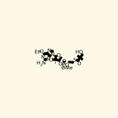 CCOc1nc(N)nc2c1ncn2[C@@H]1OC[C@@H](O[P@](=O)(OC)OCCSC(=O)C(C)(C)CO)[C@@]1(C)Cl